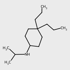 CCCC1(CCC)CCC(NC(C)C)CC1